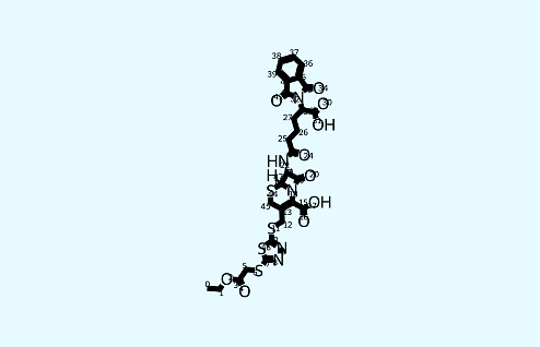 CCOC(=O)CSc1nnc(SCC2=C(C(=O)O)N3C(=O)[C@@H](NC(=O)CCCC(C(=O)O)N4C(=O)c5ccccc5C4=O)[C@@H]3SC2)s1